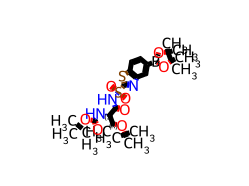 C[C@@H](OC(C)(C)C)[C@H](NC(=O)OC(C)(C)C)C(=O)NS(=O)(=O)c1nc2cc(B3OC(C)(C)C(C)(C)O3)ccc2s1